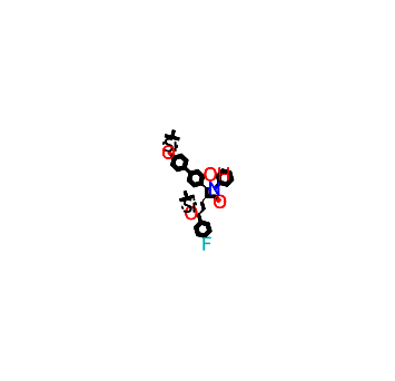 CC(C)(C)[Si](C)(C)Oc1ccc(-c2ccc([C@@H]3[C@@H](CC[C@H](O[Si](C)(C)C(C)(C)C)c4ccc(F)cc4)C(=O)N3c3ccccc3)c(O)c2)cc1